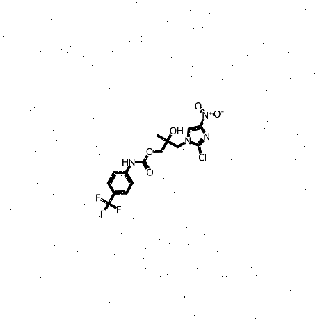 CC(O)(COC(=O)Nc1ccc(C(F)(F)F)cc1)Cn1cc([N+](=O)[O-])nc1Cl